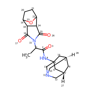 CC(C(=O)NC12C[C@@H]3C[C@@H](CN(C3)C1)C2)N1C(=O)C2C3CCC(O3)C2C1=O